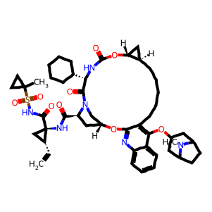 C=C[C@@H]1C[C@]1(NC(=O)[C@@H]1C[C@@H]2CN1C(=O)[C@H](C1CCCCC1)NC(=O)O[C@@H]1C[C@H]1CCCCCc1c(nc3ccccc3c1OC1CC3CCC(C1)N3C)O2)C(=O)NS(=O)(=O)C1(C)CC1